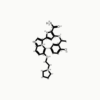 CC(Oc1cc(-c2cnc3ccc(OCCN4CCCC4)cn23)sc1C(N)=O)c1ccccc1Cl